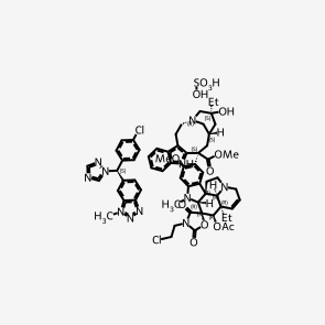 CC[C@]1(O)C[C@H]2C[N@](CCc3c([nH]c4ccccc34)[C@@](C(=O)OC)(c3cc4c(cc3OC)N(C)[C@H]3[C@]5(OC(=O)N(CCCl)C5=O)[C@H](OC(C)=O)[C@]5(CC)C=CCN6CC[C@]43[C@@H]65)C2)C1.Cn1nnc2ccc([C@H](c3ccc(Cl)cc3)n3cncn3)cc21.O=S(=O)(O)O